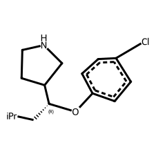 CC(C)C[C@@H](Oc1ccc(Cl)cc1)C1CCNC1